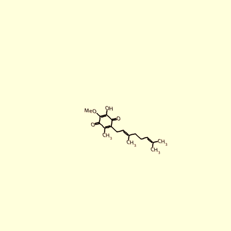 COC1=C(O)C(=O)C(C/C=C(\C)CCC=C(C)C)=C(C)C1=O